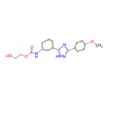 COc1ccc(-c2n[nH]c(-c3cccc(NC(=O)OCCO)c3)n2)cc1